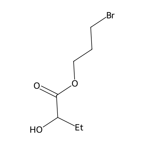 CCC(O)C(=O)OCCCBr